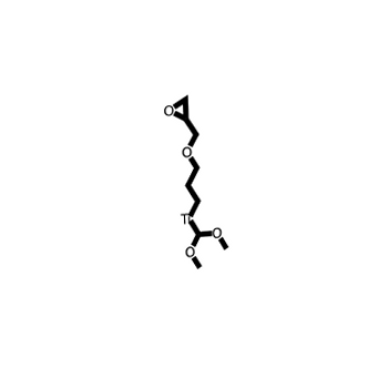 CO[CH](OC)[Ti][CH2]CCOCC1CO1